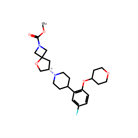 CC(C)(C)OC(=O)N1CC2(C[C@H](N3CCC(c4cc(F)ccc4OC4CCOCC4)CC3)CO2)C1